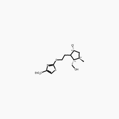 CCOC(=O)c1csc(SCCC2[C@H](Cl)C[C@@H](C)[C@@H]2CO)n1